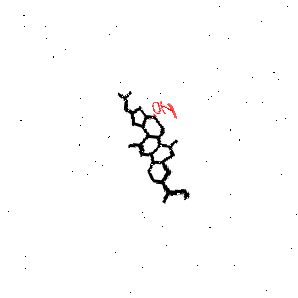 CC=C(C)C1CCC2C(C1)CC(C)C1C2C=C(C)C2C3CC(C=C(C)C)CC3C(O)CC21